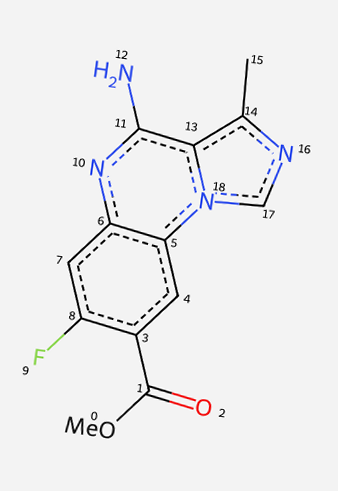 COC(=O)c1cc2c(cc1F)nc(N)c1c(C)ncn12